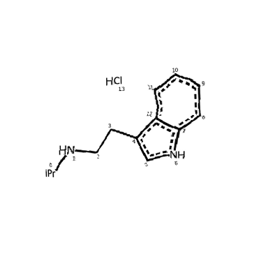 CC(C)NCCc1c[nH]c2ccccc12.Cl